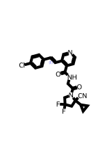 N#CC1(C2CC2)CC(F)(F)CN1C(=O)CNC(=O)c1ccncc1/C=C/c1ccc(Cl)cc1